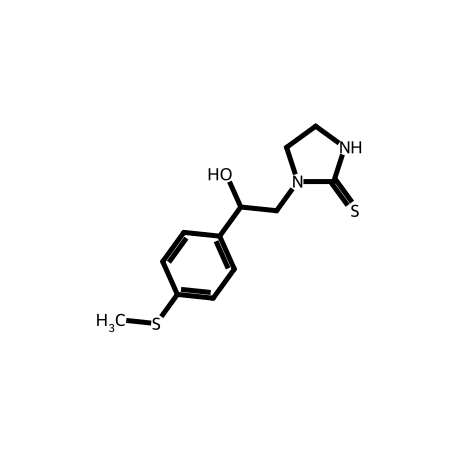 CSc1ccc(C(O)CN2CCNC2=S)cc1